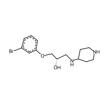 O[C@@H](CNC1CCNCC1)COc1cccc(Br)c1